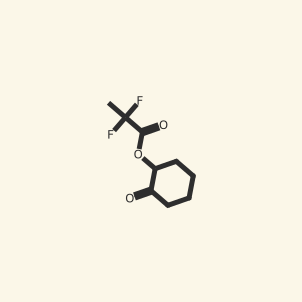 CC(F)(F)C(=O)OC1CCCCC1=O